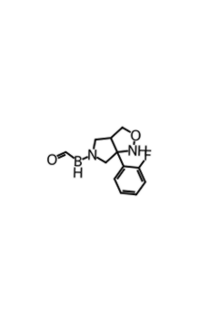 O=CBN1CC2CONC2(c2ccccc2F)C1